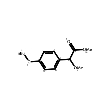 CCCCOc1ccc(C(OC)C(=O)OC)cc1